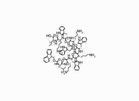 CC[C@H](C)[C@H](NC(=O)[C@H](CCCCN)NC(=O)[C@H](Cc1c[nH]c2ccccc12)NC(=O)[C@H](CCCCN)NC(=O)[C@H](Cc1c[nH]c2ccccc12)NC(=O)[C@H](Cc1c[nH]c2ccccc12)NC(=O)[C@H](CCCCN)NC(=O)[C@H](Cc1c[nH]c2ccccc12)NC(=O)[C@H](CCCCN)NC(=O)[C@H](CC(C)C)NC(=O)OCC1c2ccccc2-c2ccccc21)C(=O)O